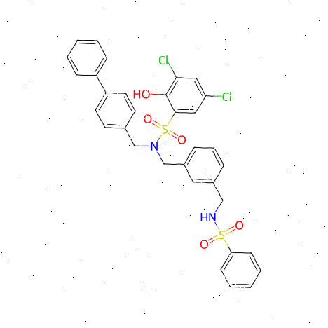 O=S(=O)(NCc1cccc(CN(Cc2ccc(-c3ccccc3)cc2)S(=O)(=O)c2cc(Cl)cc(Cl)c2O)c1)c1ccccc1